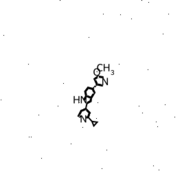 COc1cncc(-c2ccc3[nH]c(-c4ccnc(C5CC5)c4)cc3c2)c1